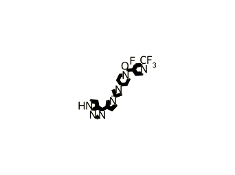 O=C(c1ccnc(C(F)(F)F)c1F)N1CCC(N2C[C](n3ccc(-c4ncnc5[nH]ccc45)c3)C2)CC1